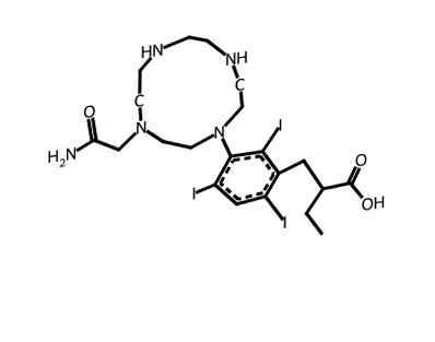 CCC(Cc1c(I)cc(I)c(N2CCNCCNCCN(CC(N)=O)CC2)c1I)C(=O)O